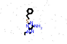 CCn1cnc2c(N)nc(SCCc3ccccc3)nc21